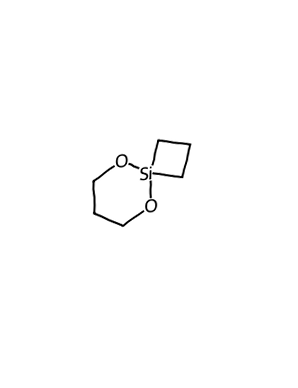 C1CO[Si]2(CCC2)OC1